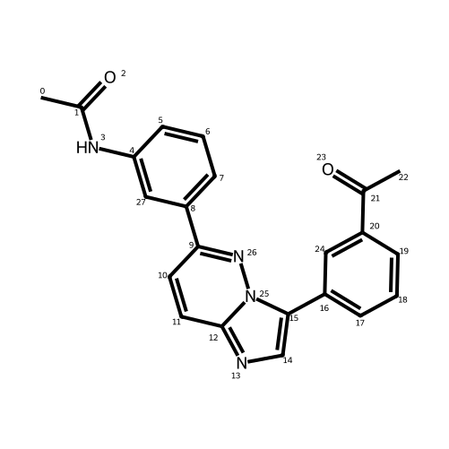 CC(=O)Nc1cccc(-c2ccc3ncc(-c4cccc(C(C)=O)c4)n3n2)c1